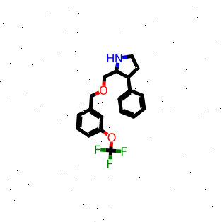 FC(F)(F)Oc1cccc(COCC2NCCC2c2ccccc2)c1